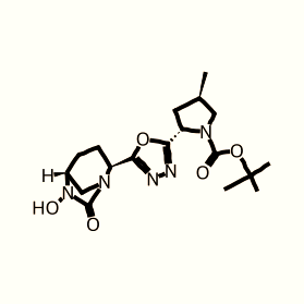 C[C@@H]1C[C@@H](c2nnc([C@@H]3CC[C@@H]4CN3C(=O)N4O)o2)N(C(=O)OC(C)(C)C)C1